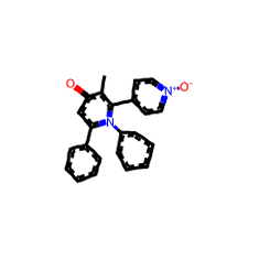 Cc1c(-c2cc[n+]([O-])cc2)n(-c2ccccc2)c(-c2ccccc2)cc1=O